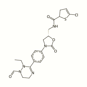 CCN1C(c2ccc(N3C[C@H](CNC(=O)C4CC=C(Cl)S4)OC3=O)cc2)=NCCN1C=O